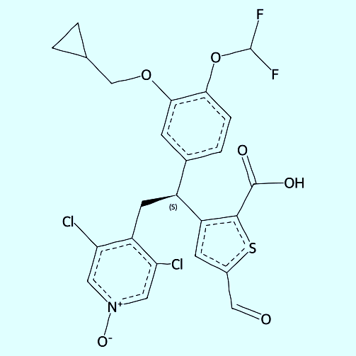 O=Cc1cc([C@@H](Cc2c(Cl)c[n+]([O-])cc2Cl)c2ccc(OC(F)F)c(OCC3CC3)c2)c(C(=O)O)s1